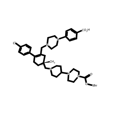 CC(C)(C)OC(=O)N1CCN(C2CCN(C[C@]3(C)CCC(c4ccc(Cl)cc4)=C(CN4CCN(c5ccc(C(=O)O)cc5)CC4)C3)CC2)CC1